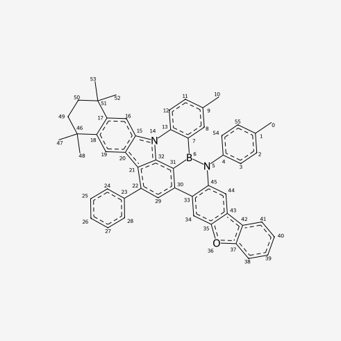 Cc1ccc(N2B3c4cc(C)ccc4-n4c5cc6c(cc5c5c(-c7ccccc7)cc(c3c54)-c3cc4oc5ccccc5c4cc32)C(C)(C)CCC6(C)C)cc1